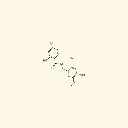 COc1cc(CNC(=O)c2ccc(O)cc2O)ccc1O.[Na]